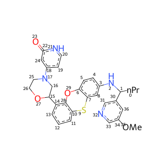 CCCC(Nc1ccc2c(c1)Sc1cccc(C3CN(c4cc[nH]c(=O)c4)CCO3)c1O2)c1cncc(OC)c1